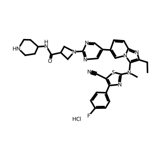 CCc1nc2ccc(-c3cnc(N4CC(C(=O)NC5CCNCC5)C4)nc3)cn2c1N(C)c1nc(-c2ccc(F)cc2)c(C#N)s1.Cl